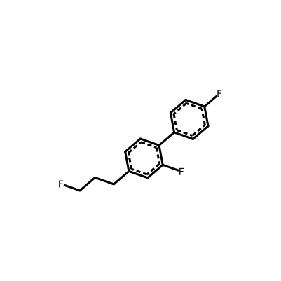 FCCCc1ccc(-c2ccc(F)cc2)c(F)c1